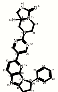 O=C1NC[C@H]2CN(c3ncc(-c4ccc5nc6n(c5n4)[C@@H](c4ccccc4)CC6)cn3)CCN12